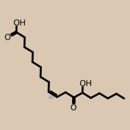 CCCCCC(O)C(=O)C/C=C\CCCCCCCC(=O)O